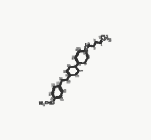 CCCCC[SiH]1CCC(C2CCC(CCc3ccc(OC)cc3)CC2)CC1